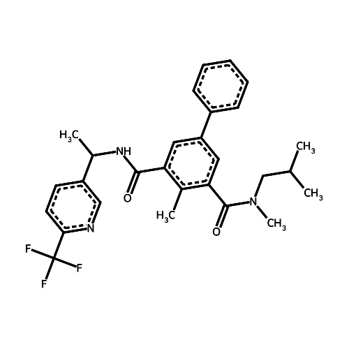 Cc1c(C(=O)NC(C)c2ccc(C(F)(F)F)nc2)cc(-c2ccccc2)cc1C(=O)N(C)CC(C)C